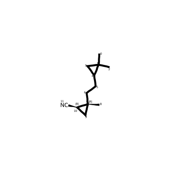 CC1(C)CC1CC[C@]1(C)C[C@H]1C#N